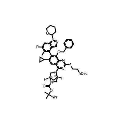 CCCCCCCCCCCCSc1nc(N2C[C@@H]3C[C@H]2CN3C(=O)OC(C)(C)CCC)c2cc(C3CC3)c(-c3c(C)c(F)cc4c3cnn4C3CCCCO3)c(OCc3ccccc3)c2n1